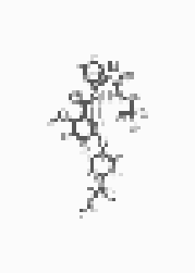 CCOC(=O)C1CCC(Oc2cc(C(=O)N[C@@H]3[C@H]4CC[C@H](C4)[C@@H]3C(=O)NCC(C)(C)C)c(OC)cc2F)CC1